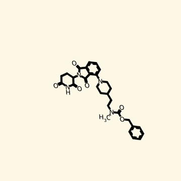 CN(CCC1CCN(c2cccc3c2C(=O)N(C2CCC(=O)NC2=O)C3=O)CC1)C(=O)OCc1ccccc1